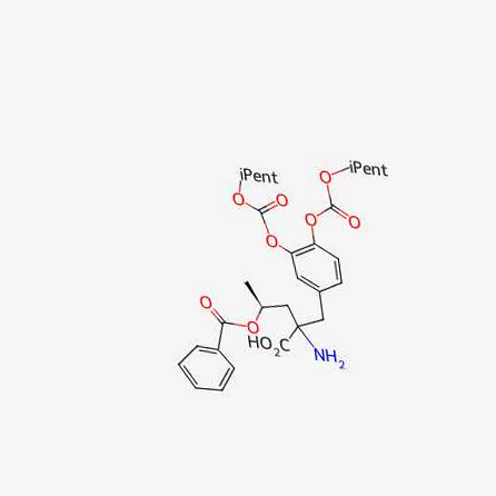 CCCC(C)OC(=O)Oc1ccc(CC(N)(C[C@H](C)OC(=O)c2ccccc2)C(=O)O)cc1OC(=O)OC(C)CCC